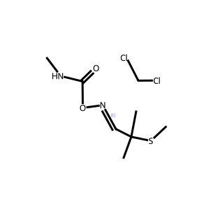 CNC(=O)O/N=C/C(C)(C)SC.ClCCl